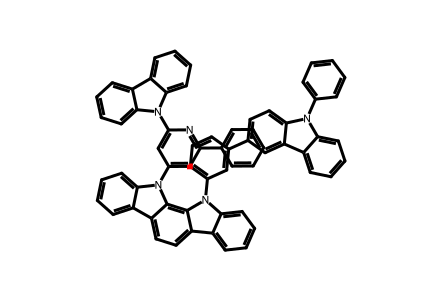 c1ccc(-c2cc(-n3c4ccccc4c4ccc5c6ccccc6n(-c6cccc(-c7ccc8c(c7)c7ccccc7n8-c7ccccc7)c6)c5c43)cc(-n3c4ccccc4c4ccccc43)n2)cc1